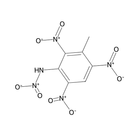 Cc1c([N+](=O)[O-])cc([N+](=O)[O-])c(N[N+](=O)[O-])c1[N+](=O)[O-]